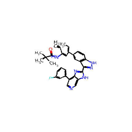 C=C/C(=C\C(=C/C)c1ccc2[nH]nc(-c3nc4c(-c5cccc(F)c5)cncc4[nH]3)c2c1)NC(=O)C(C)(C)C